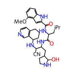 COc1cccc2[nH]c(C(=O)NC(CC(C)C)C(=O)NC(CC3CCNC3O)C(C#N)NC3CCCc4ccncc43)cc12